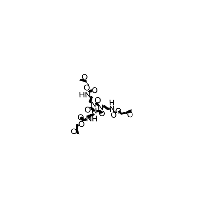 O=C(NCCn1c(=O)n(CCNC(=O)OCC2CO2)c(=O)n(CCNC(=O)OC[C@@H]2CO2)c1=O)OCC1CO1